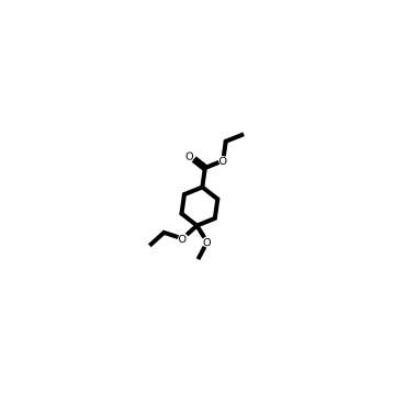 CCOC(=O)C1CCC(OC)(OCC)CC1